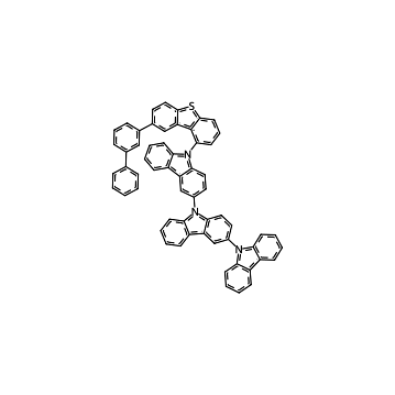 c1ccc(-c2cccc(-c3ccc4sc5cccc(-n6c7ccccc7c7cc(-n8c9ccccc9c9cc(-n%10c%11ccccc%11c%11ccccc%11%10)ccc98)ccc76)c5c4c3)c2)cc1